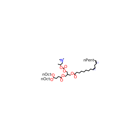 CCCCC/C=C\C/C=C\CCCCCCCC(=O)OCC(COC(=O)CCC(OCCCCCCCC)OCCCCCCCC)COC(=O)OC(C)CN(C)C